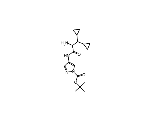 CC(C)(C)OC(=O)n1cc(NC(=O)C(N)C(C2CC2)C2CC2)cn1